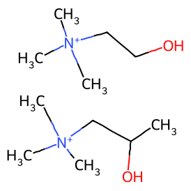 CC(O)C[N+](C)(C)C.C[N+](C)(C)CCO